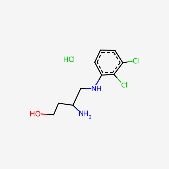 Cl.NC(CCO)CNc1cccc(Cl)c1Cl